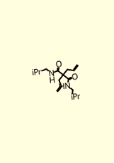 C=CCC(CC=C)(C(=O)NCC(C)C)C(=O)NCC(C)C